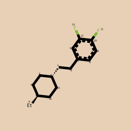 CC[C@H]1CC[C@H](CCc2ccc(F)c(F)c2)CC1